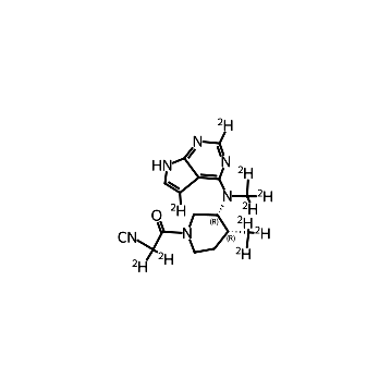 [2H]c1nc(N([C@H]2CN(C(=O)C([2H])([2H])[N+]#[C-])CC[C@H]2C([2H])([2H])[2H])C([2H])([2H])[2H])c2c([2H])c[nH]c2n1